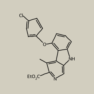 CCOC(=O)c1ncc2[nH]c3cccc(Oc4ccc(Cl)cc4)c3c2c1C